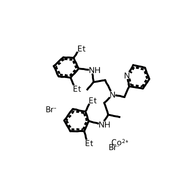 CCc1cccc(CC)c1NC(C)CN(Cc1ccccn1)CC(C)Nc1c(CC)cccc1CC.[Br-].[Br-].[Co+2]